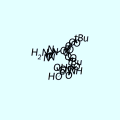 CC(C)(C)C(=O)OCOP(=O)(COCCn1cnc2c(N)ncnc21)OCOC(=O)C(C)(C)C.O=c1[nH]c(=O)n(C2C[C@H](O)[C@@H](CO)O2)cc1I